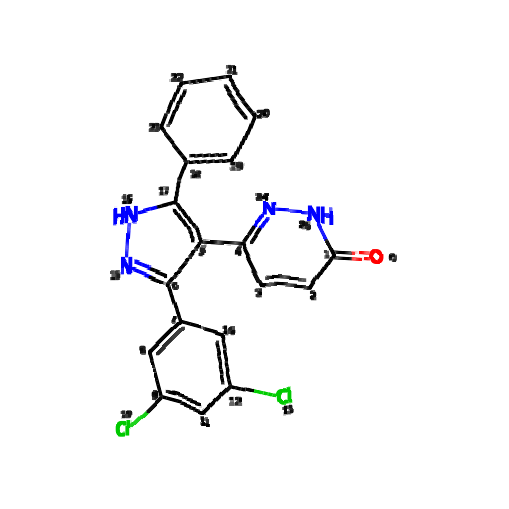 O=c1ccc(-c2c(-c3cc(Cl)cc(Cl)c3)n[nH]c2-c2ccccc2)n[nH]1